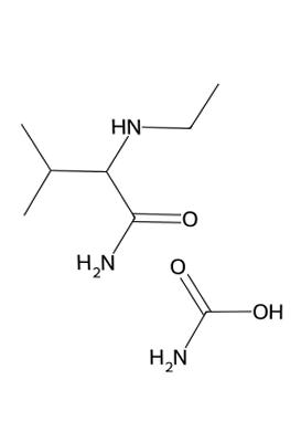 CCNC(C(N)=O)C(C)C.NC(=O)O